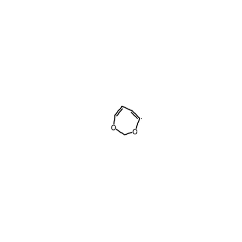 [C]1=CC=COCO1